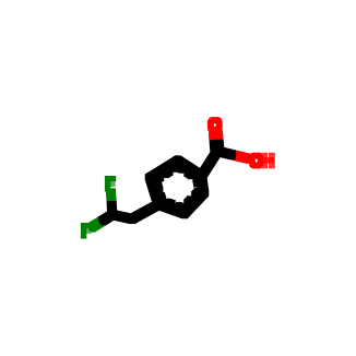 O=C(O)c1ccc(CC(F)F)cc1